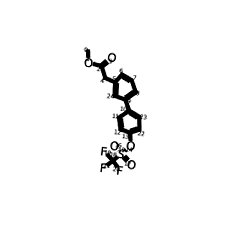 COC(=O)Cc1cccc(-c2ccc(OS(=O)(=O)C(F)(F)F)cc2)c1